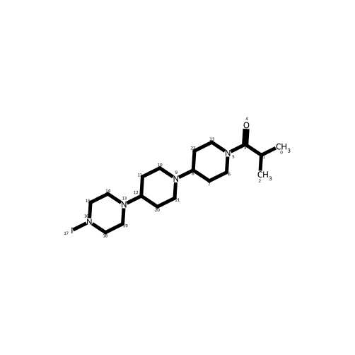 CC(C)C(=O)N1CCC(N2CCC(N3CCN(I)CC3)CC2)CC1